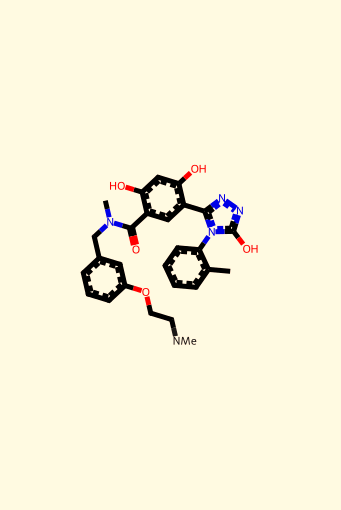 CNCCOc1cccc(CN(C)C(=O)c2cc(-c3nnc(O)n3-c3ccccc3C)c(O)cc2O)c1